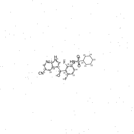 [C-]#[N+]c1cnc2[nH]cc(C(=O)c3c(F)ccc(NS(=O)(=O)C4CCCCC4)c3F)c2c1